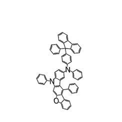 c1ccc(-c2c3c(cc4c2c2cc(N(c5ccccc5)c5ccc(C6(c7ccccc7)c7ccccc7-c7ccccc76)cc5)ccc2n4-c2ccccc2)oc2ccccc23)cc1